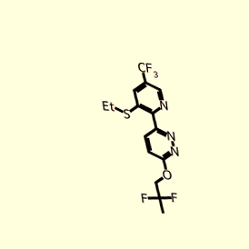 CCSc1cc(C(F)(F)F)cnc1-c1ccc(OCC(C)(F)F)nn1